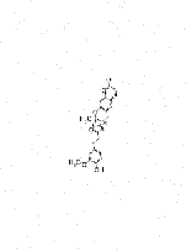 COc1cc(CCC(=O)O[C@H]2Cc3cc4ccc(=O)oc4cc3OC2(C)C)ccc1O